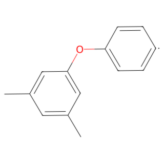 Cc1cc(C)cc(Oc2cc[c]cc2)c1